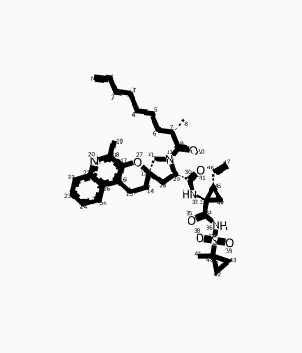 C=CCCCCC[C@H](C)C(=O)N1C[C@@]2(CCc3c(c(C)nc4ccccc34)O2)C[C@H]1C(=O)N[C@]1(C(=O)NS(=O)(=O)C2(C)CC2)C[C@H]1C=C